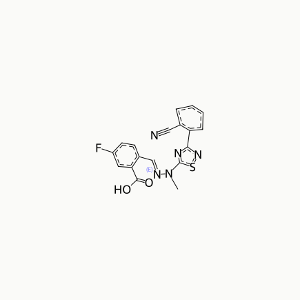 CN(/N=C/c1ccc(F)cc1C(=O)O)c1nc(-c2ccccc2C#N)ns1